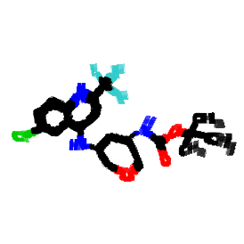 CC(C)(C)OC(=O)N[C@@H]1COC[C@H](Nc2cc(C(F)(F)F)nc3ccc(Cl)cc23)C1